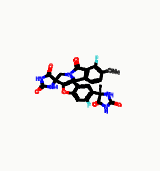 COc1ccc2c(c1F)C(=O)N(CC1(c3cc4cc([C@]5(C)NC(=O)NC5=O)c(F)cc4o3)NC(=O)NC1=O)C2